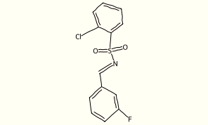 O=S(=O)(/N=C/c1cccc(F)c1)c1ccccc1Cl